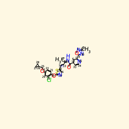 Cc1noc(-c2cc(C(=O)N[C@@H](C)/C=C/c3cnc(Oc4ccc(OCC5CC5)cc4Cl)s3)ccn2)n1